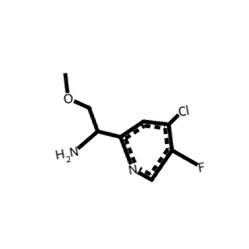 COCC(N)c1cc(Cl)c(F)cn1